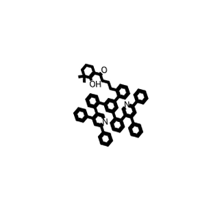 CC1(C)CCCC(C(=O)CCCc2ccccc2-c2cc(-c3ccccc3-c3cnc(-c4ccccc4)cc3-c3ccccc3)cc(-c3ccccc3-c3cnc(-c4ccccc4)cc3-c3ccccc3)c2)=C1O